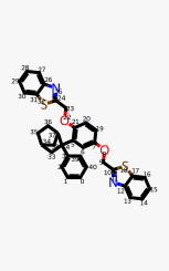 c1ccc(C2(c3cc(OCc4nc5ccccc5s4)ccc3OCc3nc4ccccc4s3)CC3CCC2C3)cc1